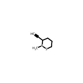 C#CC1CCCSN1C